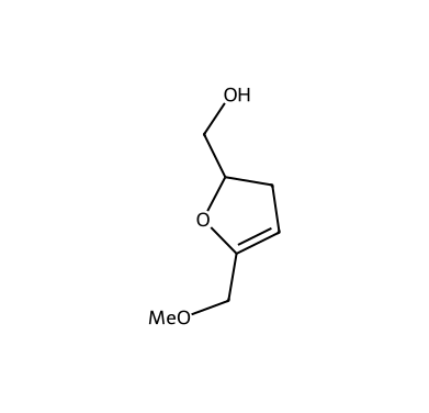 COCC1=CCC(CO)O1